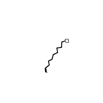 [CH]=CCCCCCCCCCl